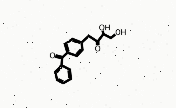 O=C(c1ccccc1)c1ccc(CC(=O)C(O)CO)cc1